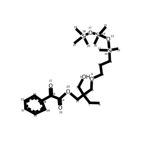 CCC(CO)(COCCC[Si](C)(C)O[Si](C)(C)O[Si](C)(C)C)COC(=O)C(=O)c1ccccc1